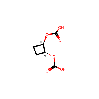 O=C(O)O[C@@H]1CC[C@H]1OC(=O)O